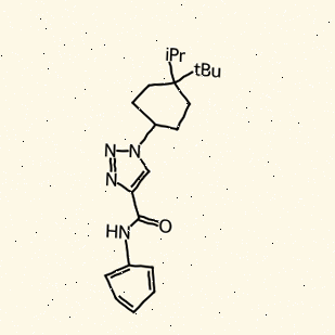 CC(C)C1(C(C)(C)C)CCC(n2cc(C(=O)Nc3ccccc3)nn2)CC1